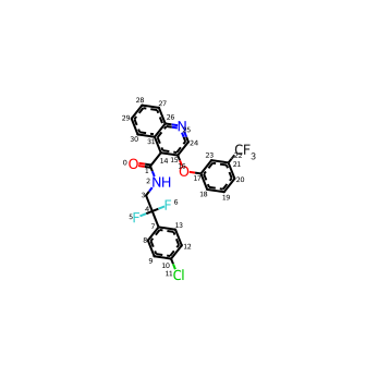 O=C(NCC(F)(F)c1ccc(Cl)cc1)c1c(Oc2cccc(C(F)(F)F)c2)cnc2ccccc12